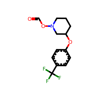 O=CON1CCCC(Oc2ccc(C(F)(F)F)cc2)C1